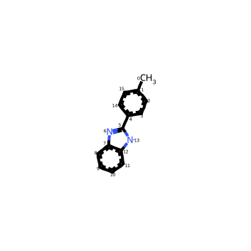 Cc1ccc(C2=Nc3ccccc3[N]2)cc1